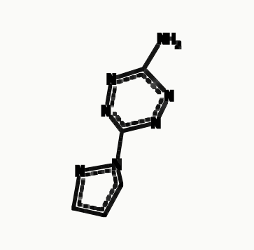 Nc1nnc(-n2cccn2)nn1